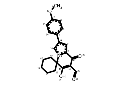 COc1ccc(-c2cc3n(c2)C2(CCCCC2)C(O)=C(C=O)C3=O)cc1